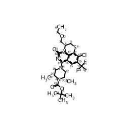 CCOC[C@H]1CSc2c(Cl)c(C(F)(F)F)cc3c(N4C[C@@H](C)N(C(=O)OC(C)(C)C)[C@@H](C)C4)nc(=O)n1c23